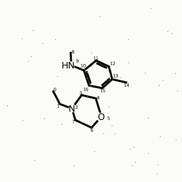 CCN1CCOCC1.CNc1ccc(C)cc1